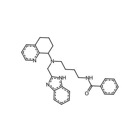 O=C(NCCCCN(Cc1nc2ccccc2[nH]1)C1CCCc2cccnc21)c1ccccc1